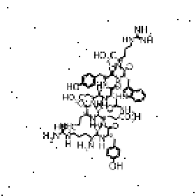 N=C(N)NCCC[C@H](NC(=O)[C@H](Cc1c[nH]c2ccccc12)NC(=O)[C@H](Cc1ccc(O)cc1)NC(=O)[C@H](CC(N)=O)NC(=O)[C@H](CC(=O)O)NC(=O)[C@H](CCC(=O)O)NC(=O)[C@H](CCC(=O)O)NC(=O)[C@H](Cc1ccc(O)cc1)NC(=O)[C@@H](N)CCCNC(=N)N)C(=O)O